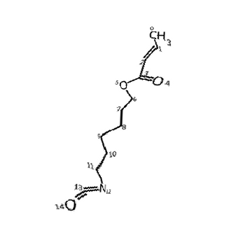 CC=CC(=O)OCCCCCCN=C=O